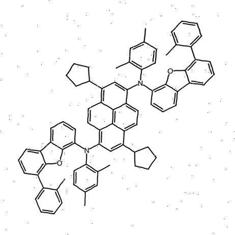 Cc1ccc(N(c2cc(C3CCCC3)c3ccc4c(N(c5ccc(C)cc5C)c5cccc6c5oc5c(-c7ccccc7C)cccc56)cc(C5CCCC5)c5ccc2c3c54)c2cccc3c2oc2c(-c4ccccc4C)cccc23)c(C)c1